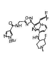 CN1CC[C@@H](Nc2cccn3c(C=C(F)F)c(-c4noc(CNC(=O)c5cnn(C(C)(C)C)c5)n4)nc23)[C@@H](F)C1